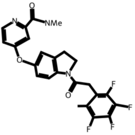 CNC(=O)c1cc(Oc2ccc3c(c2)CCN3C(=O)Cc2c(C)c(F)c(F)c(F)c2F)ccn1